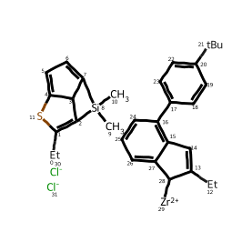 CCC1=C2C3C(=CC=C3[Si]2(C)C)S1.CCC1=Cc2c(-c3ccc(C(C)(C)C)cc3)cccc2[CH]1[Zr+2].[Cl-].[Cl-]